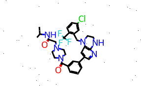 CC(C)NC(=O)CN1CCN(C(=O)c2cccc(-c3cnc4c(c3)N(Cc3cc(Cl)ccc3C(F)(F)F)CCN4)c2)CC1